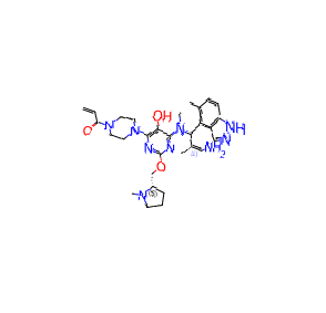 C=CC(=O)N1CCN(c2nc(OC[C@@H]3CCCN3C)nc(N(C)C(/C(C)=C\N)c3c(C)ccc4[nH]ncc34)c2O)CC1